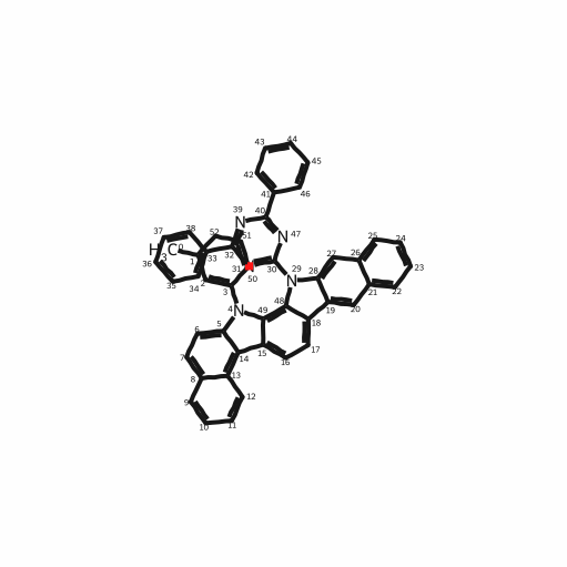 CC1C=C(n2c3ccc4ccccc4c3c3ccc4c5cc6ccccc6cc5n(-c5nc(-c6ccccc6)nc(-c6ccccc6)n5)c4c32)C=CC1